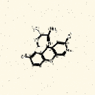 NC1=N[C@]2(CO[C@@H]1C(F)(F)F)c1cc(Br)ccc1Oc1cnc(Cl)cc12